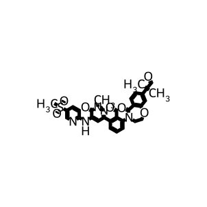 Cn1nc(-c2cccc(N3CCOc4cc(C(C)(C)C=O)ccc4C3=O)c2C=O)cc(Nc2ccc(S(C)(=O)=O)cn2)c1=O